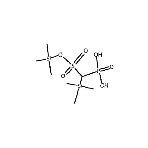 C[Si](C)(C)OS(=O)(=O)C([Si](C)(C)C)P(=O)(O)O